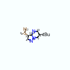 C[SH](C)c1cnn2cc(C(C)(C)C)cnc12